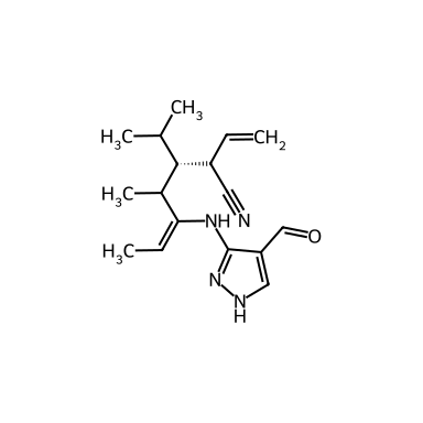 C=CC(C#N)[C@@H](C(C)C)C(C)C(=CC)Nc1n[nH]cc1C=O